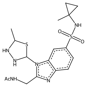 CC(=O)NCc1nc2ccc(S(=O)(=O)NC3(C)CC3)cc2n1C1NNC(C)S1